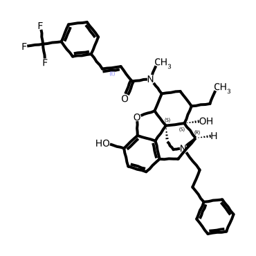 CCC1CC(N(C)C(=O)/C=C/c2cccc(C(F)(F)F)c2)C2Oc3c(O)ccc4c3[C@@]23CCN(CCc2ccccc2)[C@H](C4)[C@]13O